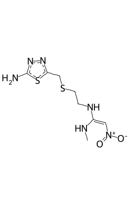 CNC(=C[N+](=O)[O-])NCCSCc1nnc(N)s1